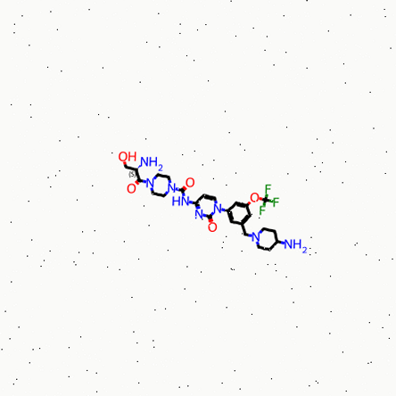 NC1CCN(Cc2cc(OC(F)(F)F)cc(-n3ccc(NC(=O)N4CCN(C(=O)[C@@H](N)CO)CC4)nc3=O)c2)CC1